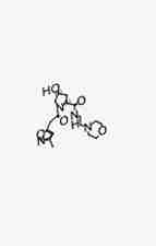 Cc1cc(CC(=O)N2C[C@H](O)C[C@H]2C(=O)NCCN2CCOCC2)on1